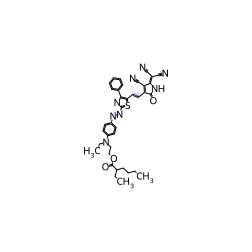 CCCCC(CC)C(=O)OCCN(CC)c1ccc(/N=N/c2nc(-c3ccccc3)c(/C=C/C3=C(C#N)C(=C(C#N)C#N)NC3=O)s2)cc1